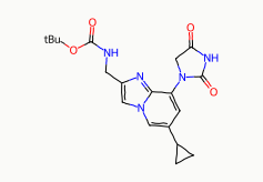 CC(C)(C)OC(=O)NCc1cn2cc(C3CC3)cc(N3CC(=O)NC3=O)c2n1